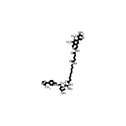 Cc1ncsc1-c1ccc(CNC(=O)[C@@H]2C[C@@H](O)CN2C(=O)[C@@H](NC(=O)CCCCCCCCNC(=O)CCCC(=O)Nc2cc3cc(-c4cncc(N)c4C)c(F)c(N)c3cn2)C(C)(C)C)cc1